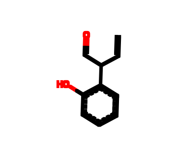 C=CC(C=O)c1ccccc1O